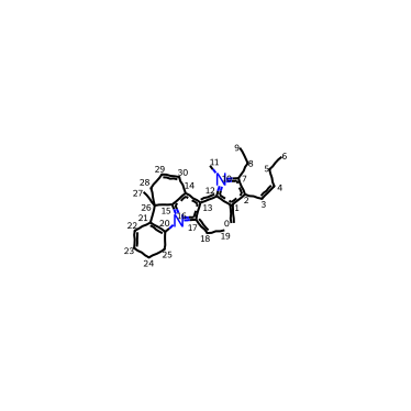 C=c1c(/C=C\CC)c(CC)n(C)/c1=c1\c2c3n(\c1=C\C)C1=C(C=CCC1)C3(C)CC=C2